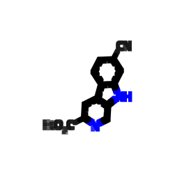 CCOC(=O)c1cc2c(cn1)[nH]c1cc(C#N)ccc12